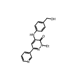 CCn1nc(-c2cccnc2)cc(Nc2ccc(CO)cc2)c1=O